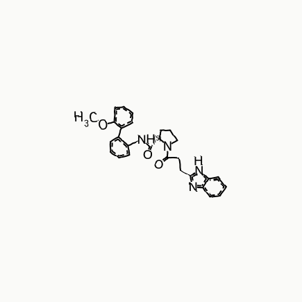 COc1ccccc1-c1ccccc1NC(=O)[C@@H]1CCCN1C(=O)CCc1nc2ccccc2[nH]1